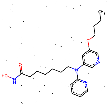 CCCCOc1cncc(N(CCCCCCC(=O)NO)c2ccccn2)c1